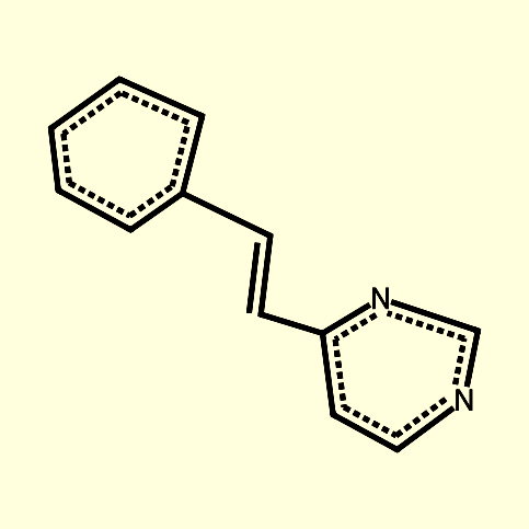 C(=Cc1ccncn1)c1ccccc1